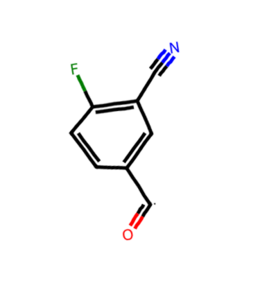 N#Cc1cc([C]=O)ccc1F